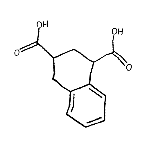 O=C(O)C1Cc2ccccc2C(C(=O)O)C1